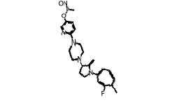 C=C1C(N2CCN(c3ccc(OP(C)N=O)cn3)CC2)CCN1C1=CC=CC(C)C(F)=C1